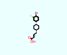 O=C(O)/C=C/C[C@H]1CC[C@H](c2ccc(Br)c(F)c2)CC1